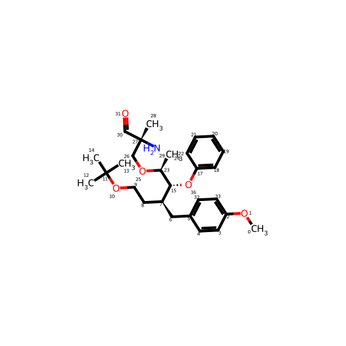 COc1ccc(C[C@@H](CCOC(C)(C)C)[C@@H](Oc2ccccc2)[C@H](C)OC[C@@](C)(N)C=O)cc1